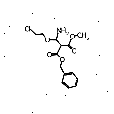 COC(=O)[C@@H](C(=O)OCc1ccccc1)C(N)OCCCl